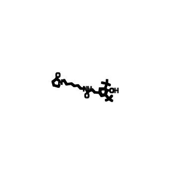 CC(C)(C)c1cc(CCC(=O)NCCCCCCN2CCCC2=O)cc(C(C)(C)C)c1O